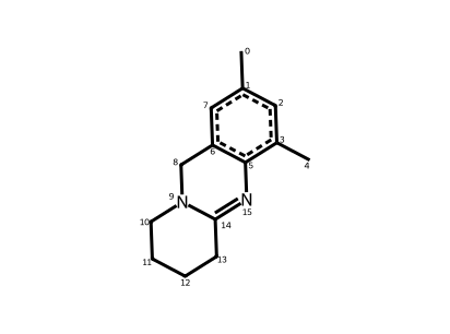 Cc1cc(C)c2c(c1)CN1CCCCC1=N2